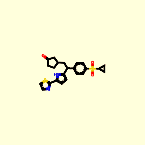 O=C1CCC(CC(c2ccc(S(=O)(=O)C3CC3)cc2)c2ccc(-c3nccs3)[nH]2)C1